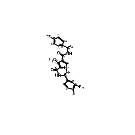 Cc1ccc(-c2nn3cc(C(=O)NC(C)c4ccc(F)cc4)c(C(F)(F)F)c3c(=O)[nH]2)cc1F